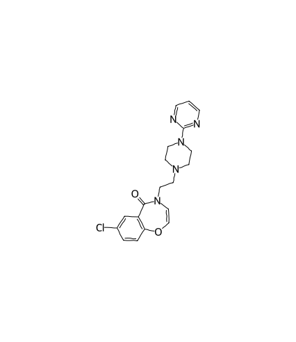 O=C1c2cc(Cl)ccc2OC=CN1CCN1CCN(c2ncccn2)CC1